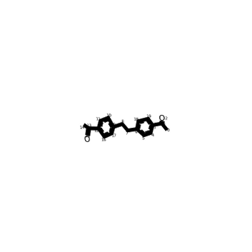 CC(=O)c1ccc(CCc2ccc(C(C)=O)cc2)cc1